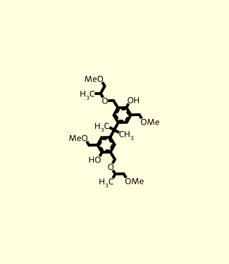 COCc1cc(C(C)(C)c2cc(COC)c(O)c(COC(C)COC)c2)cc(COC(C)COC)c1O